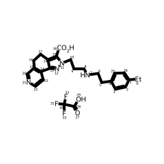 CCc1ccc(CCNCCCn2nc3c(c2C(=O)O)CCc2cnccc2-3)cc1.O=C(O)C(F)(F)F